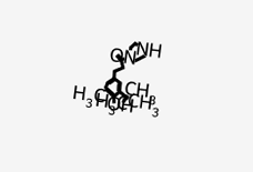 Cc1cc(CCC(=O)N2CCNCC2)cc(C(C)(C)C)c1O